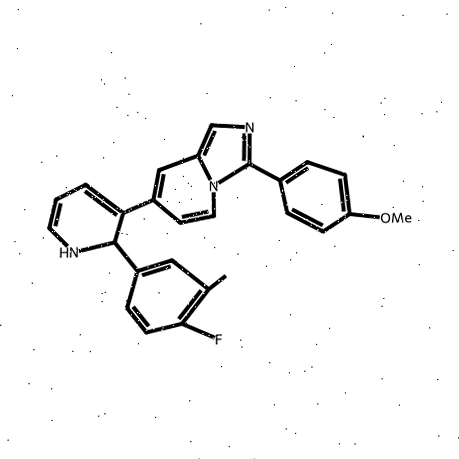 COc1ccc(-c2ncc3cc(C4=CC=CNC4c4ccc(F)c(C)c4)ccn23)cc1